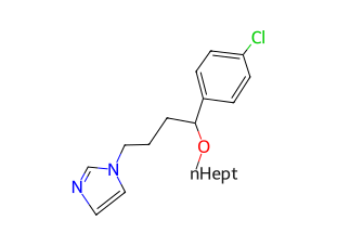 CCCCCCCOC(CCCn1ccnc1)c1ccc(Cl)cc1